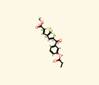 CCC(=O)Oc1cccc(C(=O)c2cc3cc(C(=O)OC)sc3s2)c1